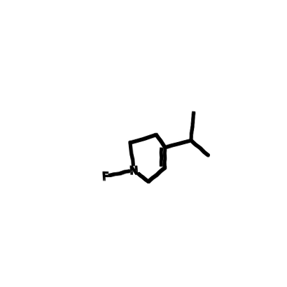 CC(C)C1=CCN(F)CC1